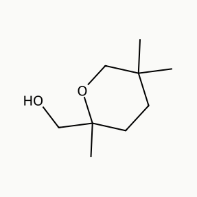 CC1(C)CCC(C)(CO)OC1